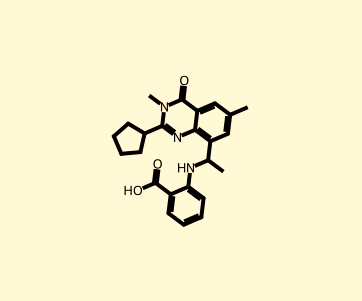 Cc1cc(C(C)Nc2ccccc2C(=O)O)c2nc(C3CCCC3)n(C)c(=O)c2c1